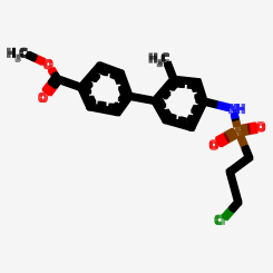 COC(=O)c1ccc(-c2ccc(NS(=O)(=O)CCCCl)cc2C)cc1